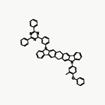 Cc1cc(-n2c3ccccc3c3cc4c(cc32)Cc2cc3c5ccccc5n(-c5cccc(-c6nc(-c7ccccc7)nc(-c7ccccc7)n6)c5)c3cc2C4)ccc1Oc1ccccc1